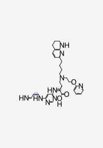 N=C/C=C\Nc1cc(N[C@@H](CCN(CCCCc2ccc3c(n2)NCCC3)CCOc2ccccn2)C(=O)O)ncn1